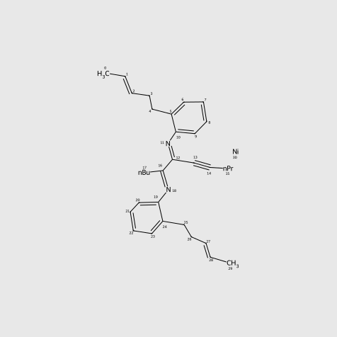 C/C=C/CCc1ccccc1/N=C(C#CCCC)/C(CCCC)=N/c1ccccc1CC/C=C/C.[Ni]